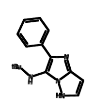 CC(C)(C)Nc1c(-c2ccccc2)nc2cc[nH]n12